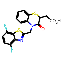 O=C(O)CC1Sc2ccccc2N(Cc2nc3c(F)ccc(F)c3s2)C1=O